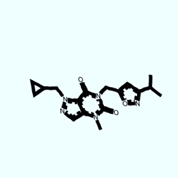 CC(C)c1cc(Cn2c(=O)c3c(cnn3CC3CC3)n(C)c2=O)on1